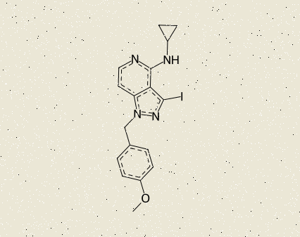 COc1ccc(Cn2nc(I)c3c(NC4CC4)nccc32)cc1